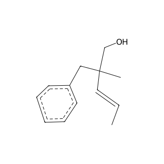 C/C=C/C(C)(CO)Cc1ccccc1